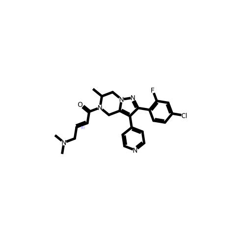 CC1Cn2nc(-c3ccc(Cl)cc3F)c(-c3ccncc3)c2CN1C(=O)/C=C/CN(C)C